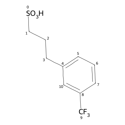 O=S(=O)(O)CCCc1cccc(C(F)(F)F)c1